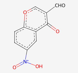 O=Cc1coc2ccc([N+](=O)O)cc2c1=O